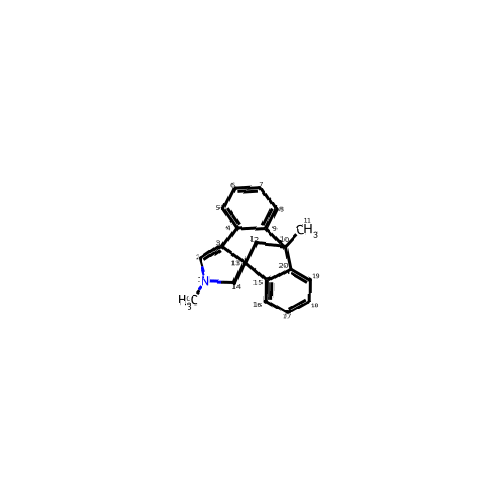 CN1C=C2c3ccccc3C3(C)CC2(C1)c1ccccc13